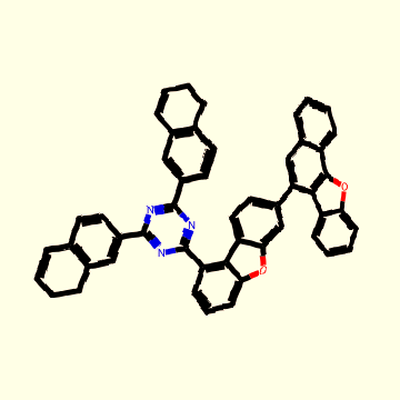 C1=Cc2cc(-c3nc(-c4ccc5c(c4)CCC=C5)nc(-c4cccc5oc6cc(-c7cc8ccccc8c8oc9ccccc9c78)ccc6c45)n3)ccc2CC1